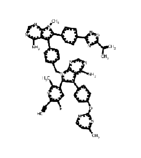 C#Cc1nc(C)c(-c2c(-c3ccc(Oc4nccc(C)n4)cc3)c3c(N)ncnc3n2Cc2ccc(-c3c(-c4ccc(-c5noc(C(=C)C)n5)cc4)n(C)c4ncnc(N)c34)cc2)cc1F